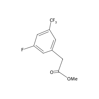 COC(=O)Cc1cc(F)cc(C(F)(F)F)c1